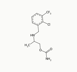 CC(COC(N)=O)NCc1cccc(C(F)(F)F)c1Cl